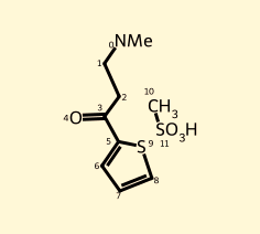 CNCCC(=O)c1cccs1.CS(=O)(=O)O